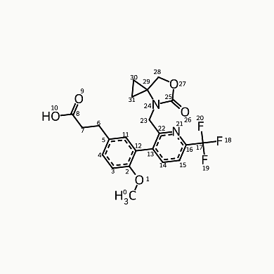 COc1ccc(CCC(=O)O)cc1-c1ccc(C(F)(F)F)nc1CN1C(=O)OCC12CC2